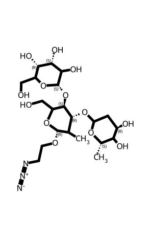 CC1[C@H](OCCN=[N+]=[N-])OC(CO)[C@@H](O[C@@H]2OC(CO)[C@H](O)[C@H](O)C2O)[C@@H]1OC1C[C@@H](O)C(O)[C@H](C)O1